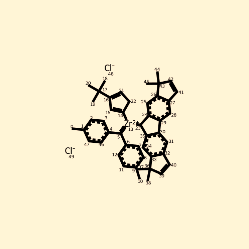 Cc1ccc([C](c2ccc(C)cc2)=[Zr+2]([C]2=CC(C(C)(C)C)=CC2)[CH]2c3cc4c(cc3-c3cc5c(cc32)C(C)(C)C=C5)C=CC4(C)C)cc1.[Cl-].[Cl-]